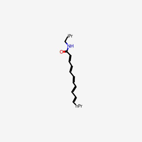 CCCC=CC=CC=CC=C/C=C/C(=O)NCC(C)C